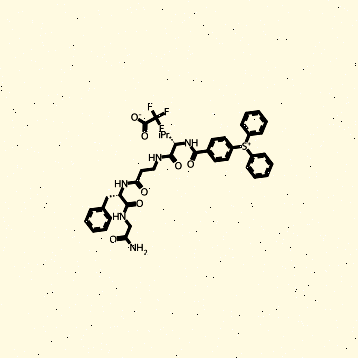 CC(C)[C@H](NC(=O)c1ccc([S+](c2ccccc2)c2ccccc2)cc1)C(=O)NCCC(=O)N[C@@H](Cc1ccccc1)C(=O)NCC(N)=O.O=C([O-])C(F)(F)F